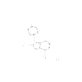 CC(C)c1cc2c(NC(=O)O)cccc2n1-c1ccc(F)cc1